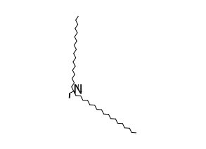 C=CC(CCCCCCCCCCCCCCCCCC)(CCCCCCCCCCCCCCCCCC)N(C)C